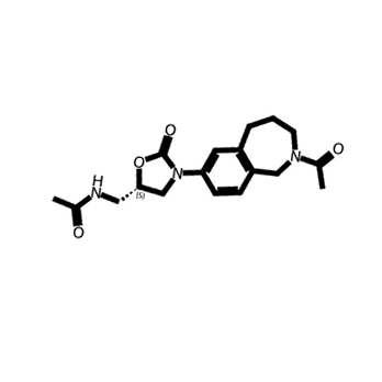 CC(=O)NC[C@H]1CN(c2ccc3c(c2)CCCN(C(C)=O)C3)C(=O)O1